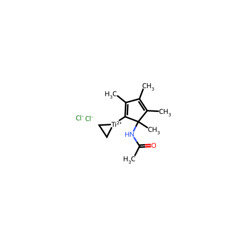 CC(=O)NC1(C)C(C)=C(C)C(C)=[C]1[Ti+2]1[CH2][CH2]1.[Cl-].[Cl-]